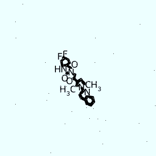 Cc1cc(C(=O)CN2C(=O)NC3(CCC(F)(F)CC3)C2=O)c(C)n1-c1ccc2ccccc2n1